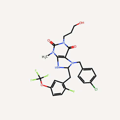 Cn1c2c(c(=O)n(CCCO)c1=O)N(Cc1ccc(Cl)cc1)C(Cc1cc(OC(F)(F)F)ccc1F)N2